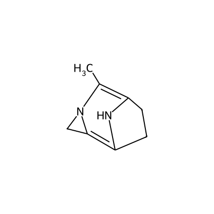 CC1=C2CCC(=C3CN13)N2